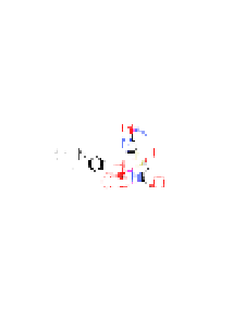 C[C@H](O)[C@H]1C(=O)N(C(=O)C(=O)OC(=O)c2ccc([N+](=O)[O-])cc2)[C@@H]1[C@H](C)C(=O)S[C@H]1CN[C@@H](C(=O)N(C)C)C1